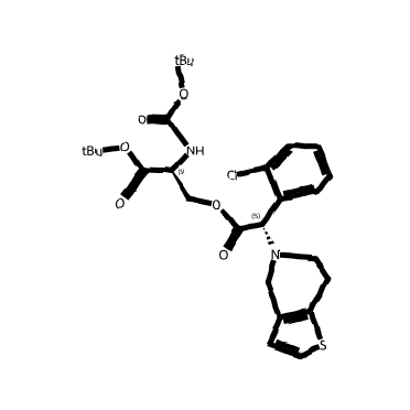 CC(C)(C)OC(=O)N[C@@H](COC(=O)[C@H](c1ccccc1Cl)N1CCc2sccc2C1)C(=O)OC(C)(C)C